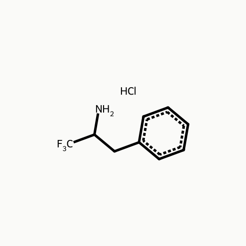 Cl.NC(Cc1ccccc1)C(F)(F)F